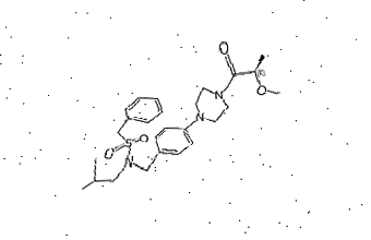 CO[C@H](C)C(=O)N1CCN(c2ccc(CN(CC(C)C)S(=O)(=O)Cc3ccccc3)cc2)CC1